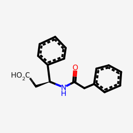 O=C(O)C[C@H](NC(=O)Cc1ccccc1)c1ccccc1